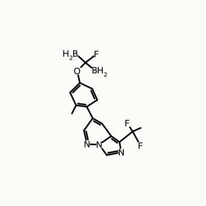 BC(B)(F)Oc1ccc(-c2cnn3cnc(C(C)(F)F)c3c2)c(C)c1